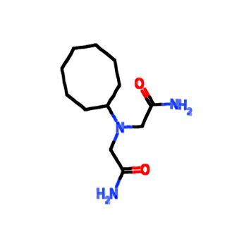 NC(=O)CN(CC(N)=O)C1CCCCCCC1